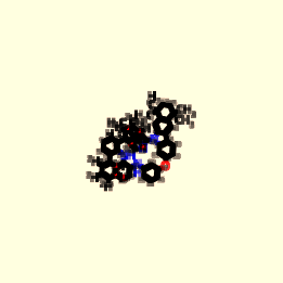 [2H]c1c([2H])c([2H])c(-c2cccc(-c3c([2H])c([2H])c([2H])c([2H])c3[2H])c2Nc2ccccc2Nc2cccc(Oc3ccc4c5cc6c(cc5n(-c5cc(C(C)(C)C)ccn5)c4c3)C(C)(C)CCC6(C)C)c2)c([2H])c1[2H]